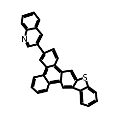 c1ccc2ncc(-c3ccc4c(c3)c3ccccc3c3cc5c(cc43)sc3ccccc35)cc2c1